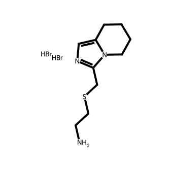 Br.Br.NCCSCc1ncc2n1CCCC2